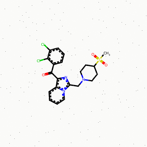 CS(=O)(=O)C1CCN(Cc2nc(C(=O)c3cccc(Cl)c3Cl)c3ccccn23)CC1